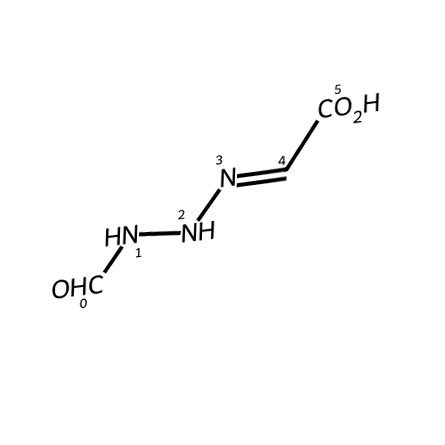 O=CNNN=CC(=O)O